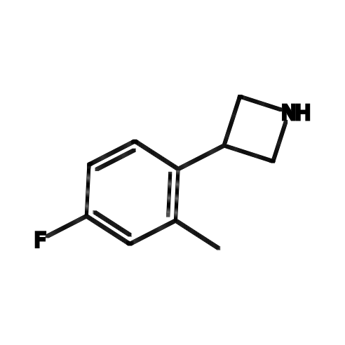 Cc1cc(F)ccc1C1CNC1